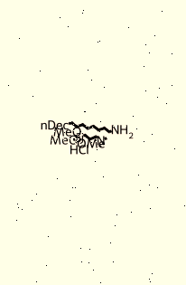 CCCCCCCCCCCCCCCCCCN.CO[Si](CCCN(C)C)(OC)OC.Cl